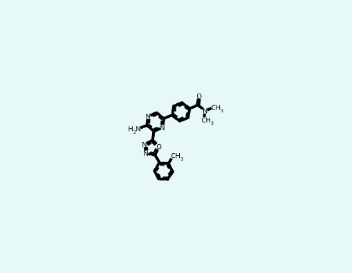 Cc1ccccc1-c1nnc(-c2nc(-c3ccc(C(=O)N(C)C)cc3)cnc2N)o1